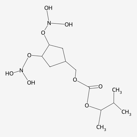 CC(C)C(C)OC(=O)OCC1CC(ON(O)O)C(ON(O)O)C1